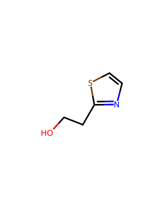 OCCc1nccs1